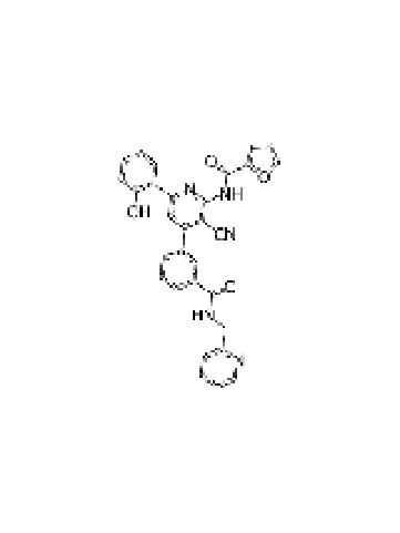 N#Cc1c(-c2cccc(C(=O)NCc3ccccn3)c2)cc(-c2ccccc2O)nc1NC(=O)c1ccco1